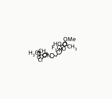 COc1cc(C)cc(C(O)(C(=O)N2CCC(CC3CCN(c4ccc(C(=O)N(C)C)c(Cl)c4)CC3)CC2)C(F)(F)F)c1